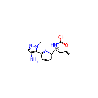 C=CC[C@H](NC(=O)O)c1cccc(-c2c(N)cnn2C)n1